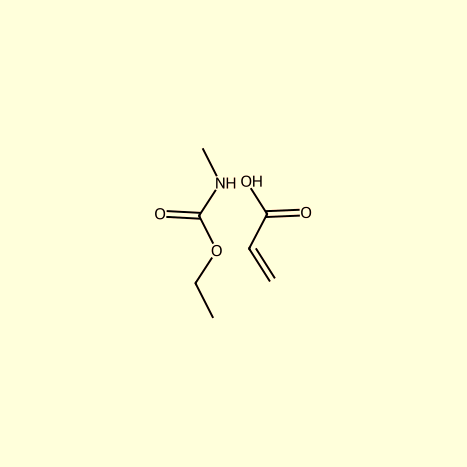 C=CC(=O)O.CCOC(=O)NC